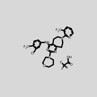 FC(F)(F)c1ccc(Nc2nc(N3CCCOCC3)nc3c2CCN(c2ncccc2C(F)(F)F)CC3)cc1Cl.O=C(O)C(F)(F)F